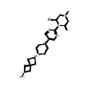 CCC1CN(C)CC(C)N1c1ncc(C2CCN([C@H]3CC4(C[C@H](C(C)=O)C4)C3)CC2)cn1